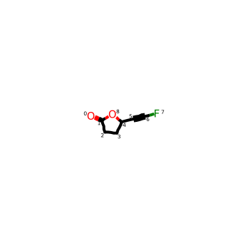 O=C1CCC(C#CF)O1